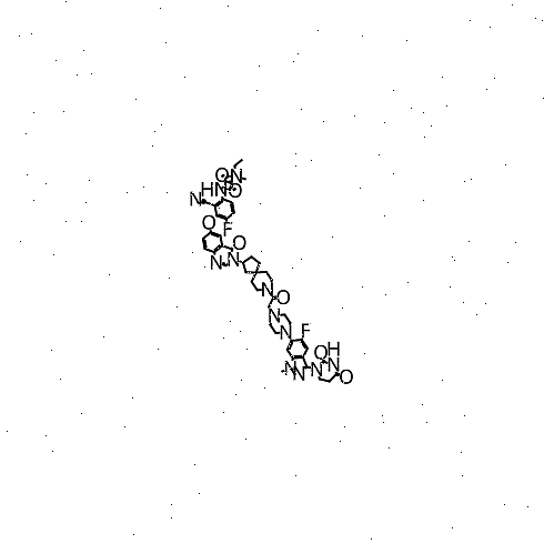 CCN(C)S(=O)(=O)Nc1ccc(F)c(Oc2ccc3ncn([C@H]4CCC5(CCN(C(=O)CN6CCN(c7cc8c(cc7F)c(N7CCC(=O)NC7=O)nn8C)CC6)CC5)C4)c(=O)c3c2)c1C#N